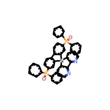 O=P(c1ccccc1)(c1ccccc1)c1ccc2c(c1)[Si]1(c3cc(P(=O)(c4ccccc4)c4ccccc4)ccc3-2)c2cccnc2-c2ncccc21